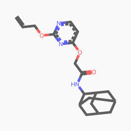 C=CCOc1nccc(OCC(=O)NC2C3CC4CC(C3)CC2C4)n1